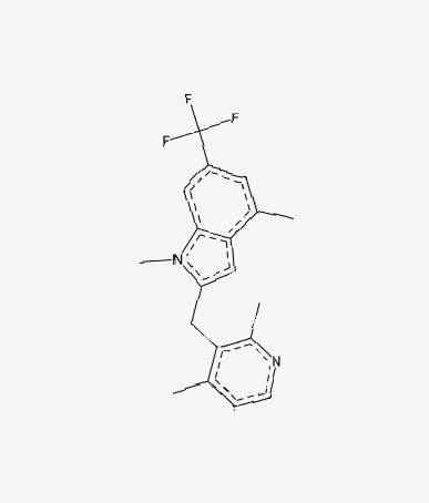 Cc1[c]cnc(C)c1Cc1cc2c(C)cc(C(F)(F)F)cc2n1C